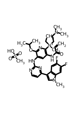 C=CC(=O)Nc1cc(Nc2nccc(-c3cn(C)c4cc(F)c(F)cc34)n2)c(OC(C)C)nc1[N+](C)(CC)CCN(C)C.CS(=O)(=O)O